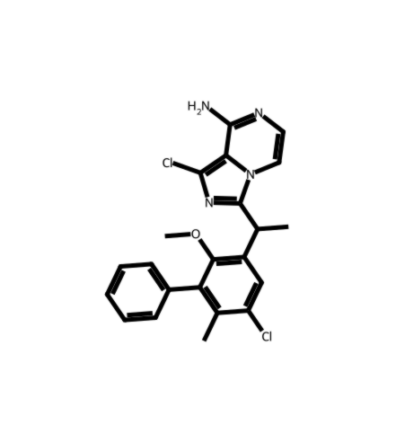 COc1c(C(C)c2nc(Cl)c3c(N)nccn23)cc(Cl)c(C)c1-c1ccccc1